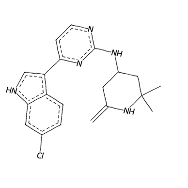 C=C1CC(Nc2nccc(-c3c[nH]c4cc(Cl)ccc34)n2)CC(C)(C)N1